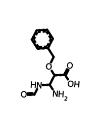 NC(NC=O)C(OCc1ccccc1)C(=O)O